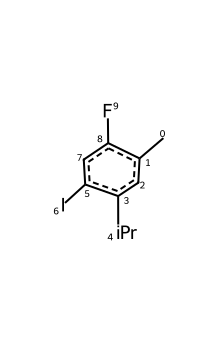 Cc1cc(C(C)C)c(I)cc1F